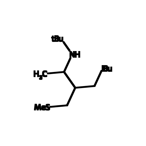 CCC(C)CC(CSC)C(C)NC(C)(C)C